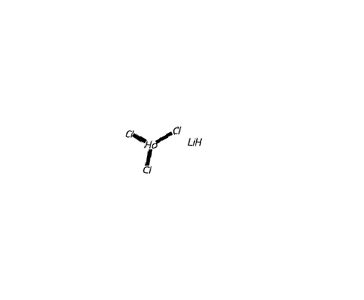 [Cl][Ho]([Cl])[Cl].[LiH]